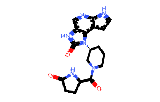 O=C1CCC(C(=O)N2CCC[C@@H](n3c(=O)[nH]c4cnc5[nH]ccc5c43)C2)N1